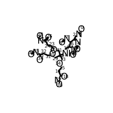 O=NCC(N=O)C(N=O)C(CNC(COCCC(=O)N=O)(COCCC(=O)N=O)COCCC(=O)N=O)N=O